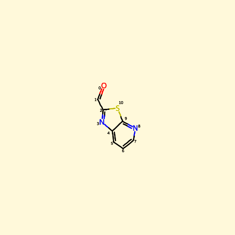 O=Cc1nc2cccnc2s1